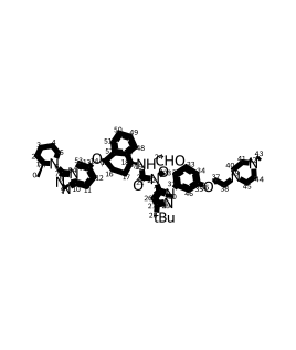 C[C@H]1CCCCN1c1nnc2ccc(O[C@@H]3CC[C@H](NC(=O)N(OC=O)c4cc(C(C)(C)C)nn4-c4cccc(OCCN5CCN(C)CC5)c4)c4ccccc43)cn12